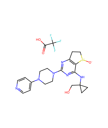 O=C(O)C(F)(F)F.[O-][S+]1CCc2nc(N3CCN(c4ccncc4)CC3)nc(NC3(CO)CC3)c21